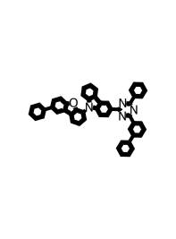 c1ccc(-c2cccc(-c3nc(-c4ccccc4)nc(-c4ccc5c(c4)c4ccccc4n5-c4cccc5c4oc4ccc(-c6ccccc6)cc45)n3)c2)cc1